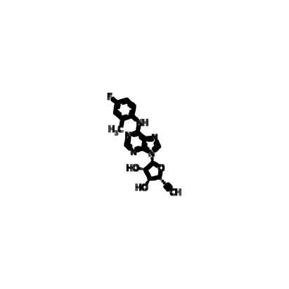 C#C[C@H]1O[C@@H](n2cnc3c(Nc4ccc(F)cc4C)ncnc32)[C@@H](O)[C@H]1O